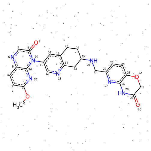 COc1ccc2ncc(=O)n(-c3cnc4c(c3)CCC(NCc3ccc5c(n3)NC(=O)CO5)C4)c2n1